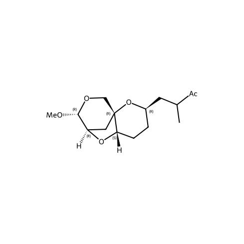 CO[C@@H]1OC[C@]23C[C@H]1O[C@H]2CC[C@H](CC(C)C(C)=O)O3